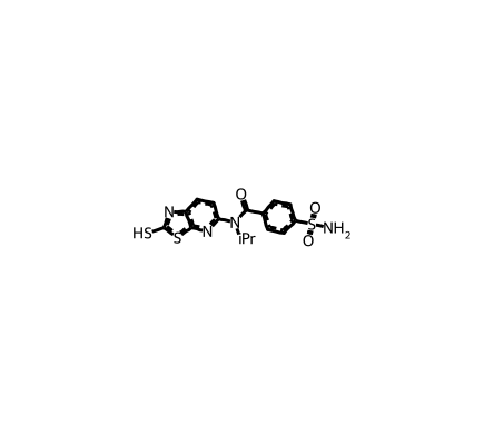 CC(C)N(C(=O)c1ccc(S(N)(=O)=O)cc1)c1ccc2nc(S)sc2n1